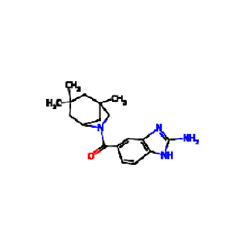 CC1(C)CC2CC(C)(CN2C(=O)c2ccc3[nH]c(N)nc3c2)C1